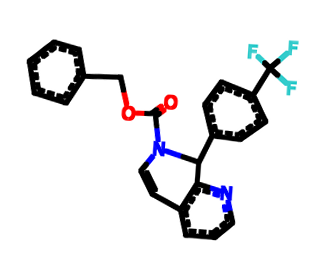 O=C(OCc1ccccc1)N1C=Cc2cccnc2C1c1ccc(C(F)(F)F)cc1